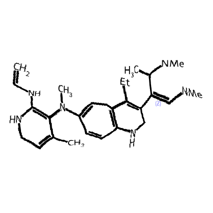 C=CNC1=C(N(C)c2ccc3c(c2)C(CC)=C(/C(=C/NC)C(C)NC)CN3)C(C)=CCN1